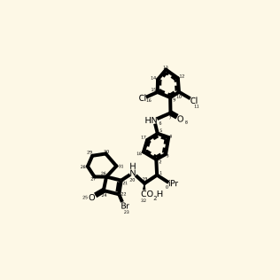 CC(C)C(c1ccc(NC(=O)c2c(Cl)cccc2Cl)cc1)[C@H](NC1=C(Br)C(=O)C12CCCCC2)C(=O)O